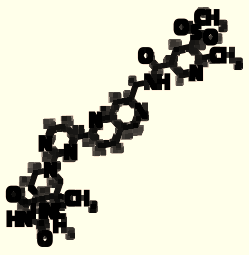 Cc1ncc(C(=O)NCc2cc3nc(-c4ccnc(N5CC[C@]6(NC(=O)NC6=O)C(C)(C)C5)n4)ccc3cn2)cc1S(C)(=O)=O